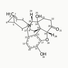 C=CC[N+]1(CC2CC2)CC[C@]23c4c5ccc(O)c4O[C@H]2C(=O)CCC3(O)[C@H]1C5